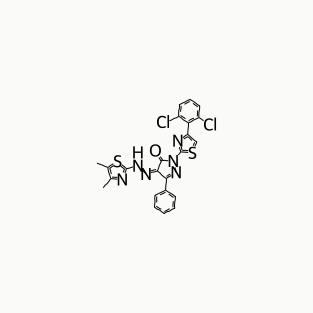 Cc1nc(N/N=C2\C(=O)N(c3nc(-c4c(Cl)cccc4Cl)cs3)N=C2c2ccccc2)sc1C